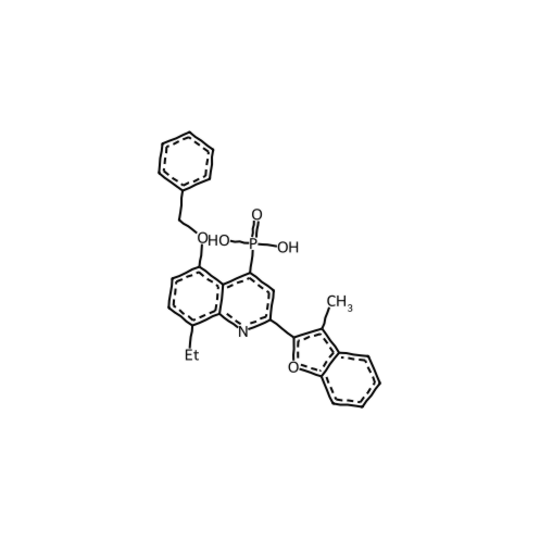 CCc1ccc(OCc2ccccc2)c2c(P(=O)(O)O)cc(-c3oc4ccccc4c3C)nc12